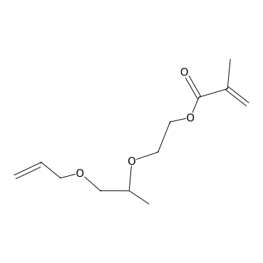 C=CCOCC(C)OCCOC(=O)C(=C)C